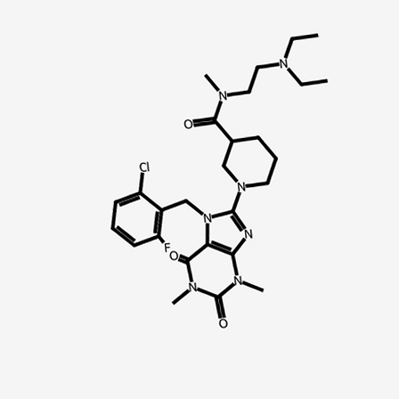 CCN(CC)CCN(C)C(=O)C1CCCN(c2nc3c(c(=O)n(C)c(=O)n3C)n2Cc2c(F)cccc2Cl)C1